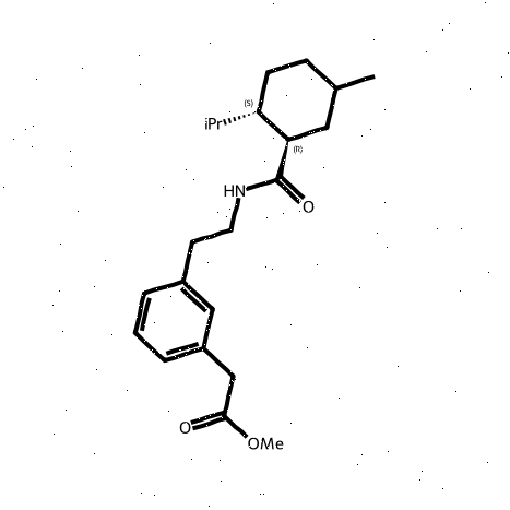 COC(=O)Cc1cccc(CCNC(=O)[C@@H]2CC(C)CC[C@H]2C(C)C)c1